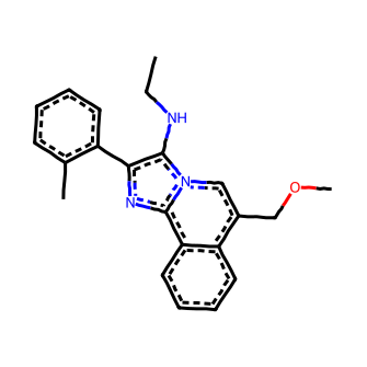 CCNc1c(-c2ccccc2C)nc2c3ccccc3c(COC)cn12